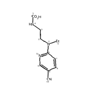 CCN(CCNC(=O)O)c1ccc(C#N)cn1